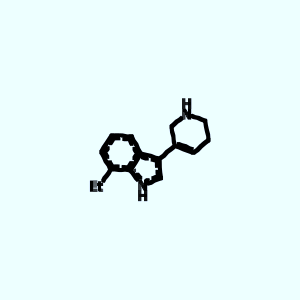 CCc1cccc2c(C3=CCCNC3)c[nH]c12